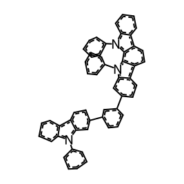 c1ccc(-n2c3ccccc3c3ccc(-c4cccc(-c5ccc6c7ccc8c9ccccc9n(-c9ccccc9)c8c7n(-c7ccccc7)c6c5)c4)cc32)cc1